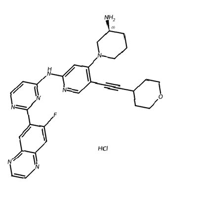 Cl.N[C@H]1CCCN(c2cc(Nc3ccnc(-c4cc5nccnc5cc4F)n3)ncc2C#CC2CCOCC2)C1